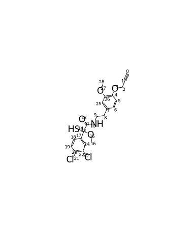 C#CCOc1ccc(CCNC(=O)C(S)(OC)c2ccc(Cl)c(Cl)c2)cc1OC